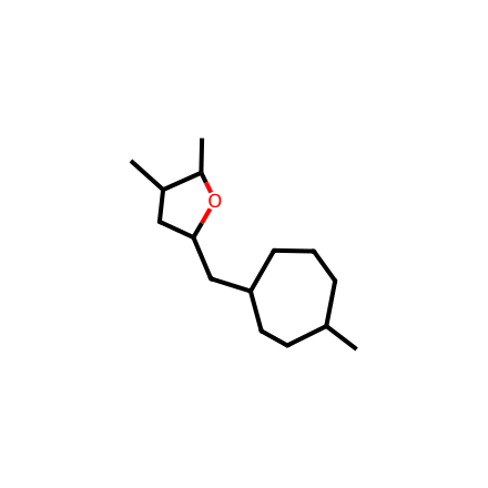 CC1CCCC(CC2CC(C)C(C)O2)CC1